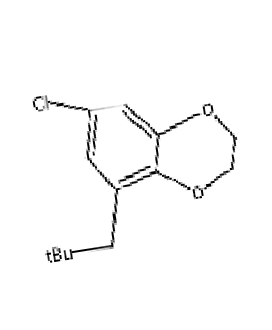 CC(C)(C)Cc1cc(Cl)cc2c1OCCO2